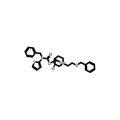 O=C(O[C@H]1C[N+]2(CCOCc3ccccc3)CCC1CC2)N(Cc1ccccc1)c1cccs1